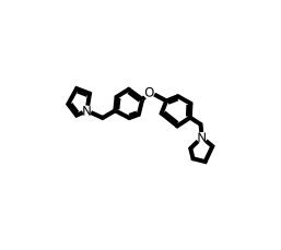 c1ccn(Cc2ccc(Oc3ccc(CN4CCCC4)cc3)cc2)c1